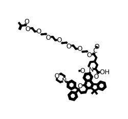 C=C(C)C(=O)OCCOCCOCCOCCOCCOCCOC(=C=O)CC1CCN(c2cc3c4c(c5c(c3cc2OC)OC(c2ccccc2)(c2ccc(N3CCOCC3)cc2)C=C5)C(C)(C)c2ccccc2-4)C(C(=O)O)C1